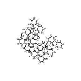 CC1(C)c2ccccc2-c2cccc(-c3nc4c(N(c5ccccc5)c5ccccc5F)cc5c(c4o3)-c3c(cc(N(c4ccccc4)c4ccccc4F)c4nc(-c6cccc7c6C(C)(C)c6ccccc6-7)oc34)[Si]53c4ccccc4-c4ccccc43)c21